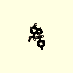 COC(=O)c1cnc(Cl)c2ccn(S(=O)(=O)c3ccc(C)cc3)c12